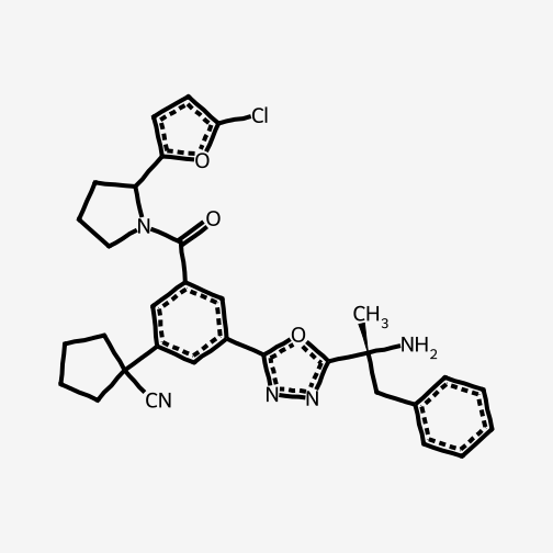 C[C@@](N)(Cc1ccccc1)c1nnc(-c2cc(C(=O)N3CCCC3c3ccc(Cl)o3)cc(C3(C#N)CCCC3)c2)o1